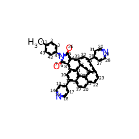 Cc1ccc(-n2c(=O)c3c4cc(-c5ccncc5)c5ccc6ccc7c(-c8ccncc8)cc(c3c2=O)c2c7c6c5c42)cc1